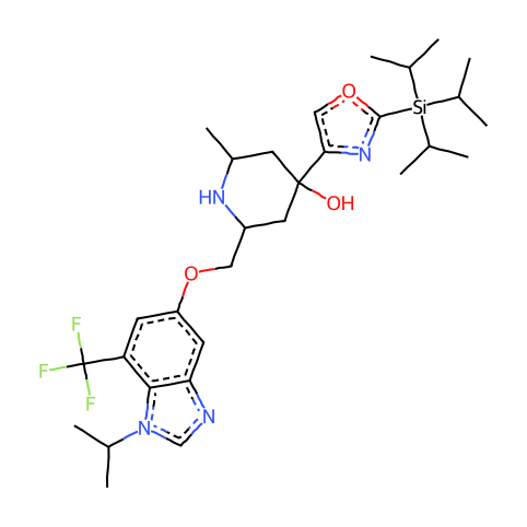 CC1CC(O)(c2coc([Si](C(C)C)(C(C)C)C(C)C)n2)CC(COc2cc(C(F)(F)F)c3c(c2)ncn3C(C)C)N1